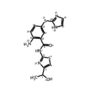 CC(O)c1csc(NC(=O)c2cc(Sc3ncc[nH]3)ccc2N)n1